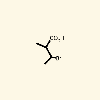 CC(Br)C(C)C(=O)O